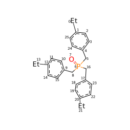 CCc1ccc(CP(=O)(Cc2ccc(CC)cc2)Cc2ccc(CC)cc2)cc1